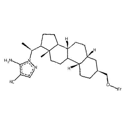 CCOC[C@H]1CC[C@@H]2C3CC[C@@]4(C)C(CCC4[C@H](C)n4ncc(C#N)c4N)[C@@H]3CC[C@@H]2C1